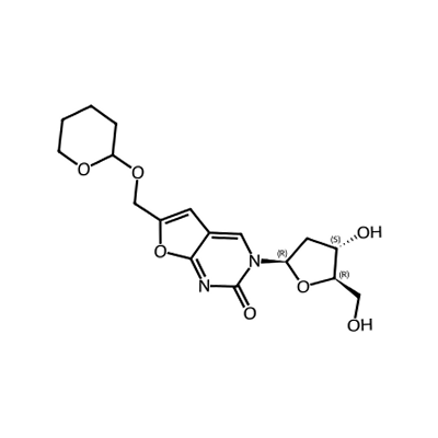 O=c1nc2oc(COC3CCCCO3)cc2cn1[C@H]1C[C@H](O)[C@@H](CO)O1